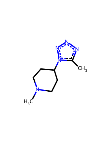 Cc1nnnn1C1CCN(C)CC1